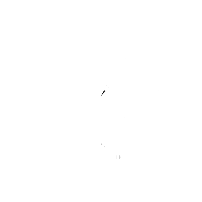 CCOc1ccccc1S[C@H](c1cccc(F)c1)[C@H]1CNCCO1.Cl